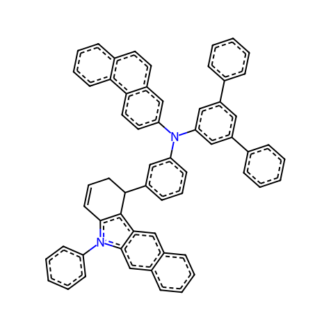 C1=Cc2c(c3cc4ccccc4cc3n2-c2ccccc2)C(c2cccc(N(c3cc(-c4ccccc4)cc(-c4ccccc4)c3)c3ccc4c(ccc5ccccc54)c3)c2)C1